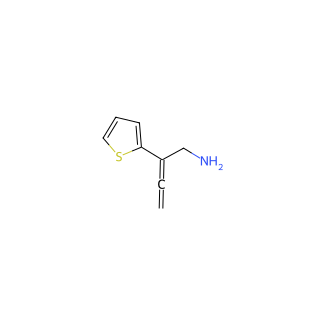 C=C=C(CN)c1cccs1